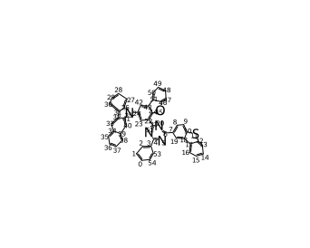 c1ccc(-c2nc(-c3ccc4sc5ccccc5c4c3)nc(-c3cc(-n4c5ccccc5c5cc6ccccc6cc54)cc4c3oc3ccccc34)n2)cc1